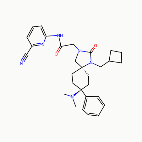 CN(C)[C@]1(c2ccccc2)CC[C@]2(CC1)CN(CC(=O)Nc1cccc(C#N)n1)C(=O)N2CC1CCC1